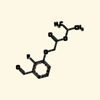 CC(C)OC(=O)COc1cccc(C=O)c1F